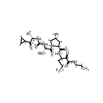 C=CCNC(=O)C(=O)C(CCC(F)(F)F)NC(=O)[C@@H]1C[C@@H](C(C)C)CN1C(=O)[C@@H](NC(=O)N[C@H](C(=O)C1CC1)C(C)C)C(C)(C)C